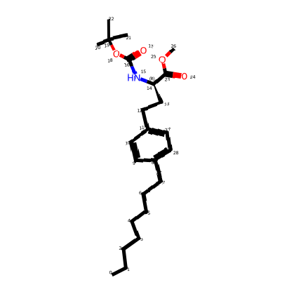 CCCCCCCCc1ccc(CC[C@@H](NC(=O)OC(C)(C)C)C(=O)OC)cc1